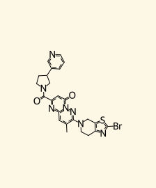 Cc1cc2nc(C(=O)N3CCC(c4cccnc4)C3)cc(=O)n2nc1N1CCc2nc(Br)sc2C1